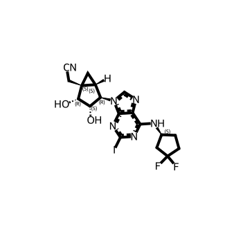 N#CC[C@@]12C[C@@H]1[C@@H](n1cnc3c(N[C@H]4CCC(F)(F)C4)nc(I)nc31)[C@H](O)[C@@H]2O